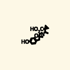 CC(N1CC2(Cc3ccc(O)cc3O2)C1)C1(C(=O)O)CC1